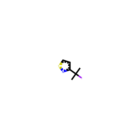 CC(C)(I)c1ccsn1